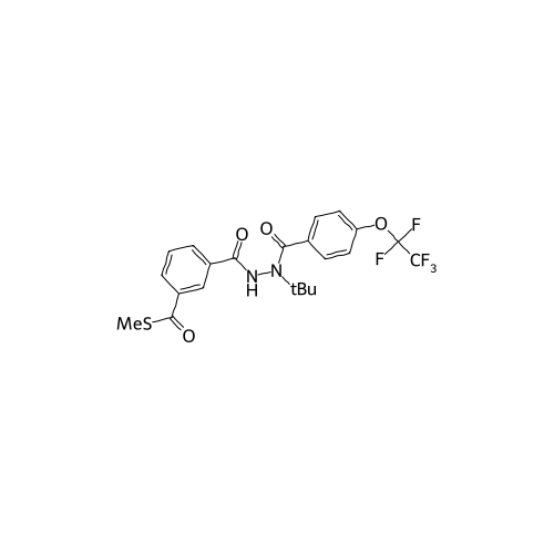 CSC(=O)c1cccc(C(=O)NN(C(=O)c2ccc(OC(F)(F)C(F)(F)F)cc2)C(C)(C)C)c1